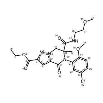 CCOC(=O)c1cc2n(n1)CC(C)(C(=O)NCCOC)N(c1cc(Cl)ccc1OC)C2=O